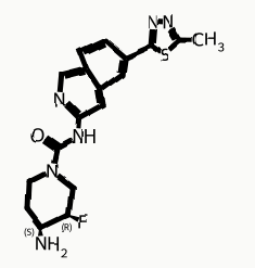 Cc1nnc(-c2ccc3cnc(NC(=O)N4CC[C@H](N)[C@H](F)C4)cc3c2)s1